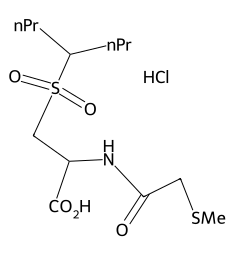 CCCC(CCC)S(=O)(=O)CC(NC(=O)CSC)C(=O)O.Cl